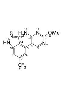 COc1ncc(-c2cc(C(F)(F)F)cc3[nH]ncc23)c(N)n1